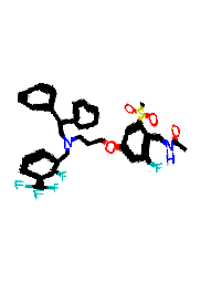 CC(=O)NCc1c(F)cc(OCCCN(Cc2cccc(C(F)(F)F)c2F)CC(c2ccccc2)c2ccccc2)cc1S(C)(=O)=O